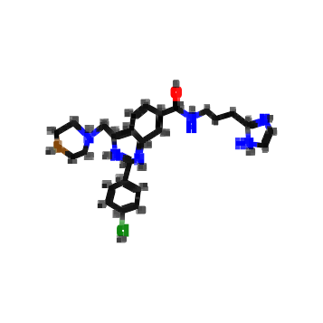 O=C(NCCCc1ncc[nH]1)c1ccc2c(CN3CCSCC3)nc(-c3ccc(Cl)cc3)nc2c1